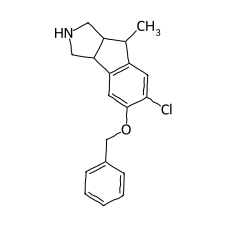 CC1c2cc(Cl)c(OCc3ccccc3)cc2C2CNCC12